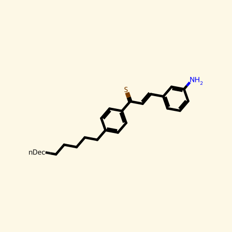 CCCCCCCCCCCCCCCc1ccc(C(=S)C=Cc2cccc(N)c2)cc1